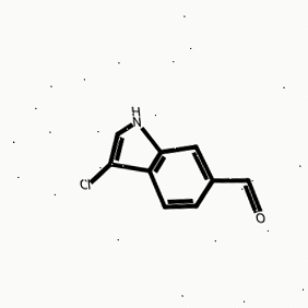 O=[C]c1ccc2c(Cl)c[nH]c2c1